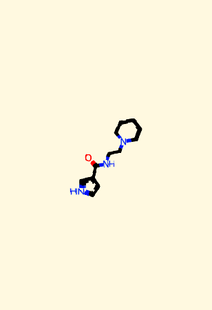 O=C(NCCN1CCCCC1)c1cc[nH]c1